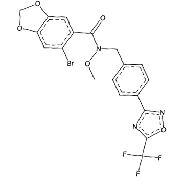 CON(Cc1ccc(-c2noc(C(F)(F)F)n2)cc1)C(=O)c1cc2c(cc1Br)OCO2